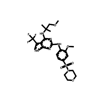 COCC(C)(C)Nc1nc(Nc2ccc(S(=O)(=O)N3CCOCC3)cc2OC)nc2[nH]cc(C(F)(F)F)c12